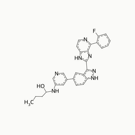 CCCC(O)Nc1cncc(-c2ccc3[nH]nc(-c4nc5c(-c6ccccc6F)nccc5[nH]4)c3c2)c1